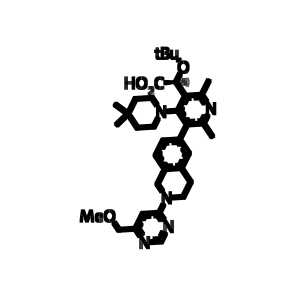 COCc1cc(N2CCc3cc(-c4c(C)nc(C)c([C@H](OC(C)(C)C)C(=O)O)c4N4CCC(C)(C)CC4)ccc3C2)ncn1